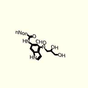 CCCCCCCCCC(=O)Nc1cc(N(C=O)CC(O)CO)c2cc[nH]c2c1